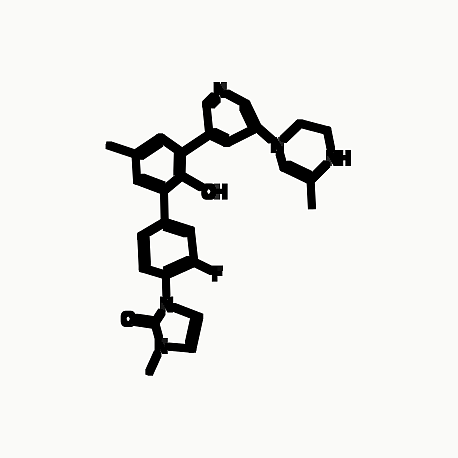 CC1=CN(c2cncc(-c3cc(C)cc(-c4ccc(-n5ccn(C)c5=O)c(F)c4)c3O)c2)CCN1